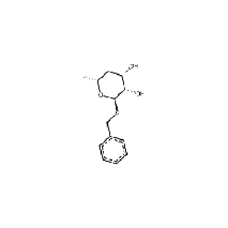 C[C@@H]1C[C@H](O)[C@H](O)[C@@H](OCc2ccccc2)O1